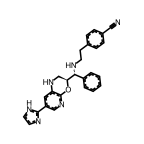 N#Cc1ccc(CCN[C@H](c2ccccc2)[C@@H]2CNc3cc(-c4ncc[nH]4)cnc3O2)cc1